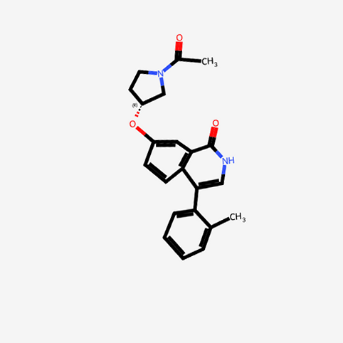 CC(=O)N1CC[C@@H](Oc2ccc3c(-c4ccccc4C)c[nH]c(=O)c3c2)C1